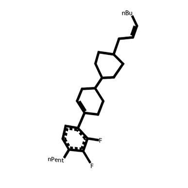 CCCC/C=C\CC1CCC(C2CC=C(c3ccc(CCCCC)c(F)c3F)CC2)CC1